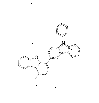 CC1CC=C(c2ccc3c(c2)c2ccccc2n3-c2ccccc2)C2Oc3ccccc3C12